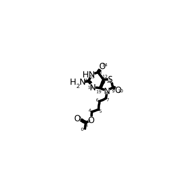 CC(=O)OCCCCn1c(=O)sc2c(=O)[nH]c(N)nc21